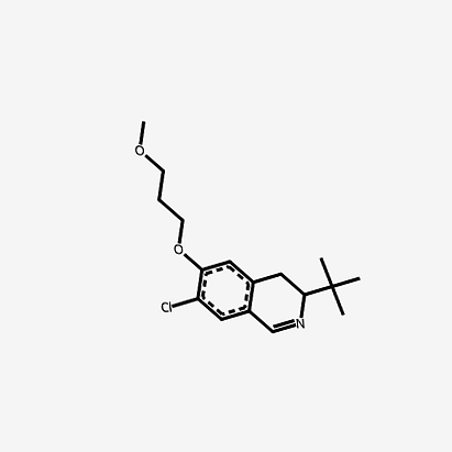 COCCCOc1cc2c(cc1Cl)C=NC(C(C)(C)C)C2